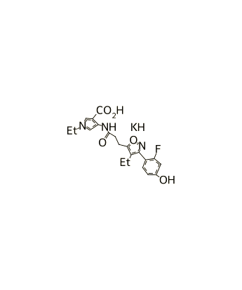 CCc1c(-c2ccc(O)cc2F)noc1CCC(=O)Nc1cn(CC)cc1C(=O)O.[KH]